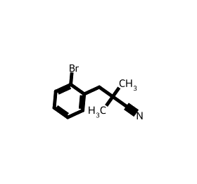 CC(C)(C#N)Cc1ccccc1Br